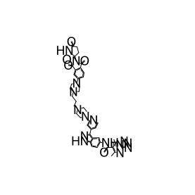 CC1=C(C(=O)Nc2ccc3[nH]nc(-c4ccnc(N5CCN(CCCN6CCN(c7ccc8c(c7)C(=O)N(C7CCC(=O)NC7=O)C8=O)CC6)CC5)c4)c3c2)[C@@H](C)n2nnnc2N1C